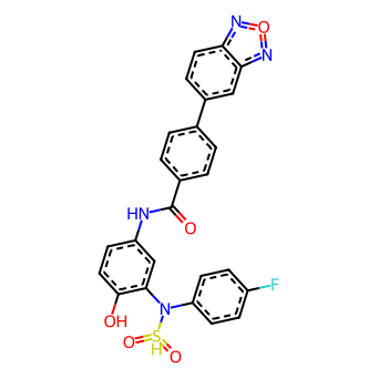 O=C(Nc1ccc(O)c(N(c2ccc(F)cc2)[SH](=O)=O)c1)c1ccc(-c2ccc3nonc3c2)cc1